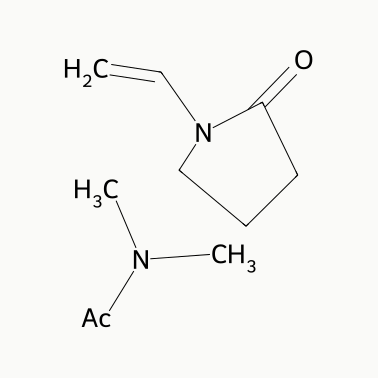 C=CN1CCCC1=O.CC(=O)N(C)C